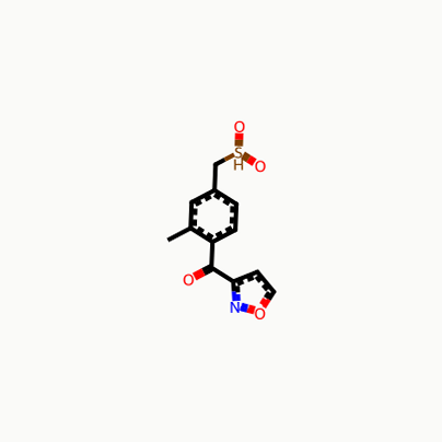 Cc1cc(C[SH](=O)=O)ccc1C(=O)c1ccon1